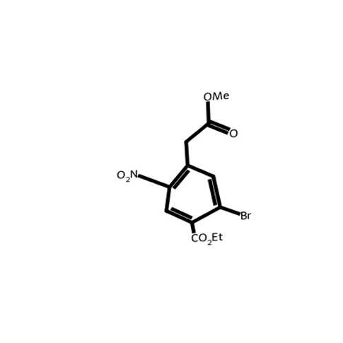 CCOC(=O)c1cc([N+](=O)[O-])c(CC(=O)OC)cc1Br